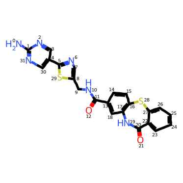 Nc1ncc(-c2ncc(CNC(=O)c3ccc4c(c3)NC(=O)c3ccccc3S4)s2)cn1